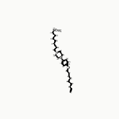 C=CCCCCCCCOc1ccc(N2CCN(CCCCCCCCCCCCCCCCC)CC2)cc1